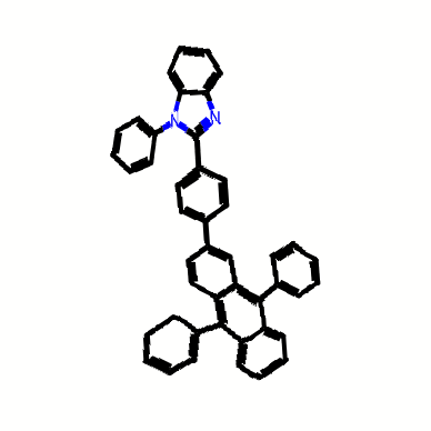 C1=CCCC(c2c3ccccc3c(-c3ccccc3)c3cc(-c4ccc(-c5nc6ccccc6n5-c5ccccc5)cc4)ccc23)=C1